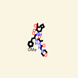 COc1ccc(CC(NC(=O)C(C)NC(=O)CN2CCOCC2)C(=O)NC(CC2CCC2)C(=O)C2(C)CO2)cc1